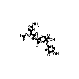 Cn1c(SCC2(C(=O)O)CS[C@@H]3C(NC(=O)C(=NOC(F)F)c4csc(N)n4)C(=O)N3C2)nnc(O)c1=O